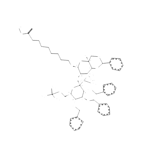 COC(=O)CCCCCCCCO[C@H]1O[C@@H]2COC(c3ccccc3)O[C@H]2[C@H](O)[C@H]1O[C@]1([SiH](C)C)O[C@H](COC(C)(C)C)[C@@H](OCc2ccccc2)[C@H](OCc2ccccc2)[C@H]1OCc1ccccc1